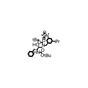 CC(C)c1cc(CN(C[C@@H](O)[C@H](Cc2ccccc2)NC(=O)OC(C)(C)C)C(=O)OC(C)(C)C)cc(N(C)S(C)(=O)=O)c1